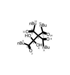 CCCCC(=O)C(O)(O)C(C(=O)CCCC)(C(=O)CCCC)C(=O)CCCC